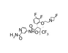 C[C@H]1[C@@H](c2ccc(F)c(F)c2OCCN2CC(F)C2)[C@H](C(=O)Nc2ccnc(C(N)=O)c2)O[C@@]1(C)C(F)(F)F